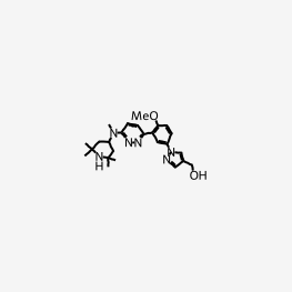 COc1ccc(-n2cc(CO)cn2)cc1-c1ccc(N(C)C2CC(C)(C)NC(C)(C)C2)nn1